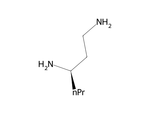 CCC[C@@H](N)CCN